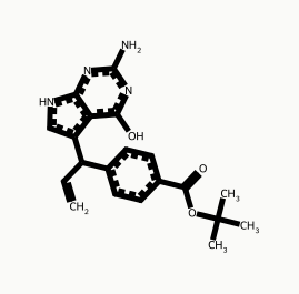 C=CC(c1ccc(C(=O)OC(C)(C)C)cc1)c1c[nH]c2nc(N)nc(O)c12